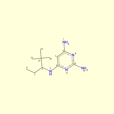 CCC(Nc1cc(N)nc(N)n1)C(C)(C)C